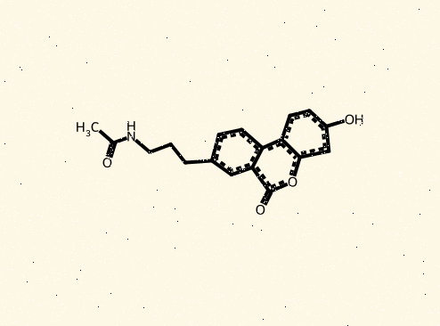 CC(=O)NCCCc1ccc2c(c1)c(=O)oc1cc(O)ccc12